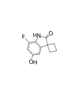 O=C1Nc2c(F)cc(O)cc2C12CCC2